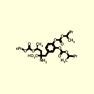 CCCOC(=O)O[C@@H](C)CC(N)(Cc1ccc(OC(=O)OC(C)C(C)C)c(OC(=O)OC(C)C(C)C)c1)C(=O)O